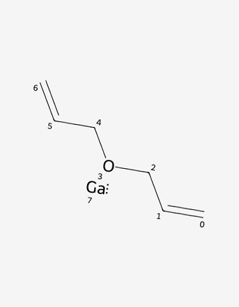 C=CCOCC=C.[Ga]